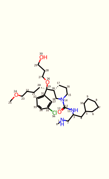 CNCC(CC1CCCCC1)NC(=O)N1CCC[C@@H]([C@](CCCCOC)(OCCCO)c2cccc(Cl)c2)C1